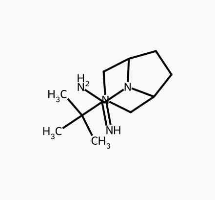 CC(C)(C)N1CC2CCC(C1)N2C(=N)N